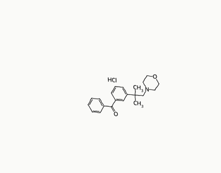 CC(C)(CN1CCOCC1)c1cccc(C(=O)c2ccccc2)c1.Cl